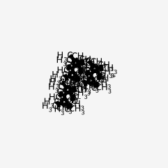 CC(C)(C)c1cc2c(c(C(C)(C)C)c1)OP(=O)([O-])Oc1c(cc(C(C)(C)C)cc1C(C)(C)C)C2C(O)O.CC(C)(C)c1cc2c(c(C(C)(C)C)c1)OP(=O)([O-])Oc1c(cc(C(C)(C)C)cc1C(C)(C)C)C2C(O)O.CC(C)(C)c1cc2c(c(C(C)(C)C)c1)OP(=O)([O-])Oc1c(cc(C(C)(C)C)cc1C(C)(C)C)C2C(O)O.[Al+3]